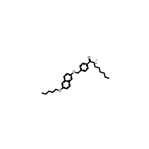 CCCCCC[C@@H](C)C(=O)c1ccc(COc2ccc3cc(OCCCCC)ccc3c2)cc1